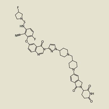 N#Cc1c(NSN2CCC(F)C2)ccc(F)c1Oc1ccc2ncn(-c3ccn(C4CCN(CC5CCN(c6ccc7c(c6)CN(C6CCC(=O)NC6=O)C7=O)CC5)CC4)n3)c(=O)c2c1